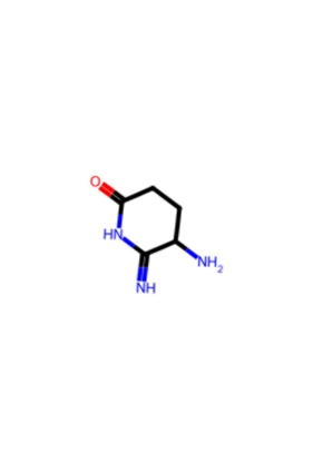 N=C1NC(=O)CCC1N